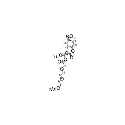 COCCOCCOCC(=O)OC(C)OC(=O)Oc1ccc([N+](=O)[O-])cc1